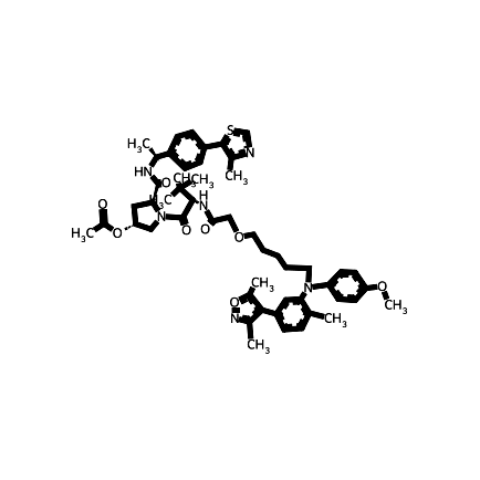 COc1ccc(N(CCCCCOCC(=O)N[C@H](C(=O)N2C[C@H](OC(C)=O)C[C@H]2C(=O)N[C@@H](C)c2ccc(-c3scnc3C)cc2)C(C)(C)C)c2cc(-c3c(C)noc3C)ccc2C)cc1